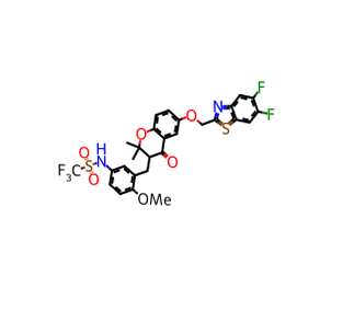 COc1ccc(NS(=O)(=O)C(F)(F)F)cc1CC1C(=O)c2cc(OCc3nc4cc(F)c(F)cc4s3)ccc2OC1(C)C